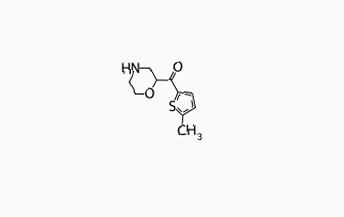 Cc1ccc(C(=O)C2CNCCO2)s1